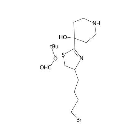 CC(C)(C)OC=O.OC1(C2=NC(CCCCBr)CS2)CCNCC1